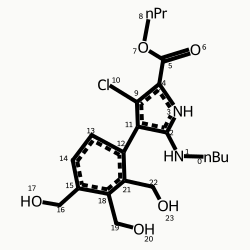 CCCCNc1[nH]c(C(=O)OCCC)c(Cl)c1-c1ccc(CO)c(CO)c1CO